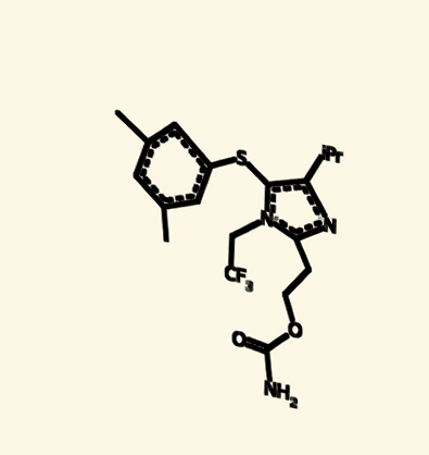 Cc1cc(C)cc(Sc2c(C(C)C)nc(CCOC(N)=O)n2CC(F)(F)F)c1